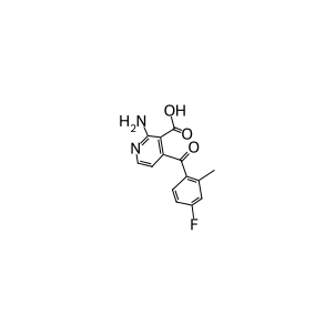 Cc1cc(F)ccc1C(=O)c1ccnc(N)c1C(=O)O